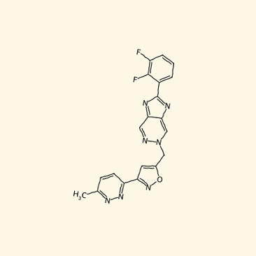 Cc1ccc(-c2cc(Cn3cc4nc(-c5cccc(F)c5F)nc-4cn3)on2)nn1